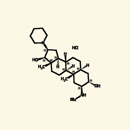 CC(C)(C)N[C@H]1C[C@@]2(C)[C@@H](CC[C@@H]3[C@@H]2CC[C@]2(C)[C@@H](O)[C@@H](N4CCCCC4)C[C@@H]32)C[C@@H]1O.Cl